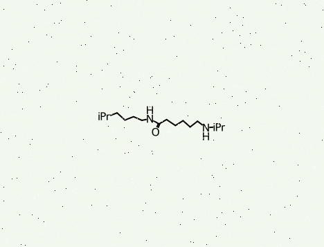 CC(C)CCCCNC(=O)CCCCCNC(C)C